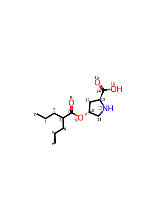 CCCC(CCC)C(=O)O[C@H]1CN[C@H](C(=O)O)C1